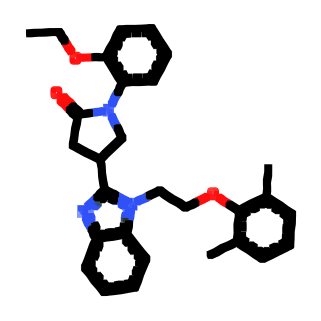 CCOc1ccccc1N1CC(c2nc3ccccc3n2CCOc2c(C)cccc2C)CC1=O